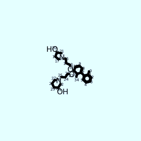 Cc1ccccc1C1=CC=CC(OCCCN2CC[C@@H](O)C2)(OCCCN2CCC[C@H](O)C2)C1C